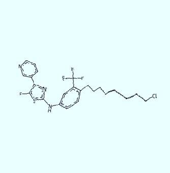 Fc1sc(Nc2ccc(CCCCCCCCCl)c(C(F)(F)F)c2)nc1-c1cccnc1